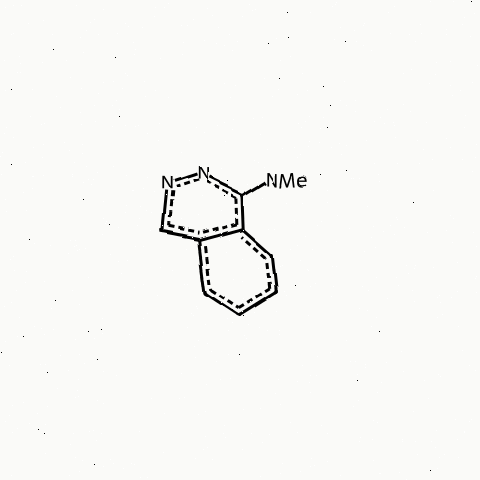 CNc1nncc2ccccc12